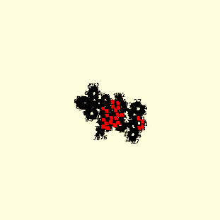 C[SiH]1[C]2(C(c3ccc(C(C)(C)C)o3)=Cc3c(-c4cc5ccccc5c5ccccc45)cccc32)[Hf]2([Cl])([Cl])([C]13C(c1ccc(C(C)(C)C)o1)=Cc1c(-c4cc5ccccc5c5ccccc45)cccc13)[C]1(C(c3ccc(C(C)(C)C)o3)=Cc3c(-c4cc5ccccc5c5ccccc45)cccc31)[SiH](C)[C]21C(c2ccc(C(C)(C)C)o2)=Cc2c(-c3cc4ccccc4c4ccccc34)cccc21